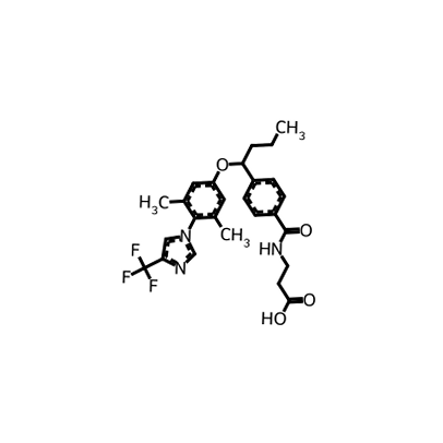 CCCC(Oc1cc(C)c(-n2cnc(C(F)(F)F)c2)c(C)c1)c1ccc(C(=O)NCCC(=O)O)cc1